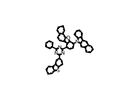 c1ccc(-c2nc(-c3ccc4sc5ccccc5c4c3)nc(-c3ccc(-n4c5ccccc5c5cc6ccccc6cc54)c4oc5c6ccccc6ccc5c34)n2)cc1